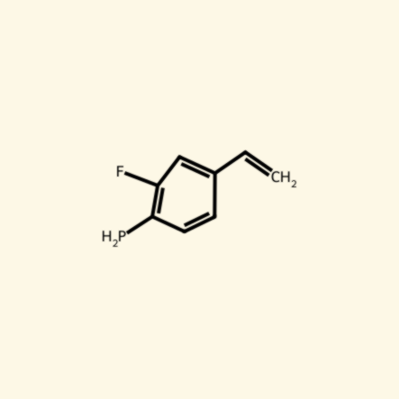 C=Cc1ccc(P)c(F)c1